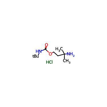 CC(C)(N)CCOC(=O)NC(C)(C)C.Cl